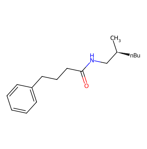 CCCC[C@H](C)CNC(=O)CCCc1ccccc1